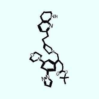 CC(C)(C)OC(=O)CC(CN1CCC(CCc2ccc3c(n2)NCCC3)C1)c1cc(N2CCOCC2)cc(-n2cccn2)c1